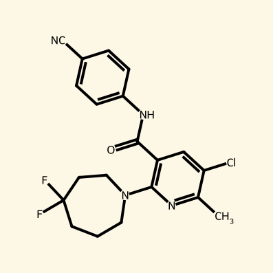 Cc1nc(N2CCCC(F)(F)CC2)c(C(=O)Nc2ccc(C#N)cc2)cc1Cl